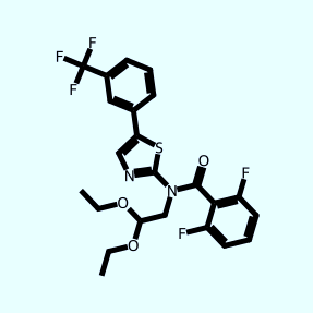 CCOC(CN(C(=O)c1c(F)cccc1F)c1ncc(-c2cccc(C(F)(F)F)c2)s1)OCC